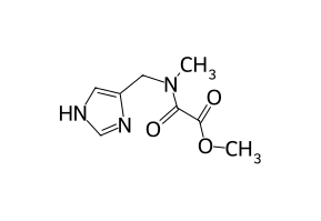 COC(=O)C(=O)N(C)Cc1c[nH]cn1